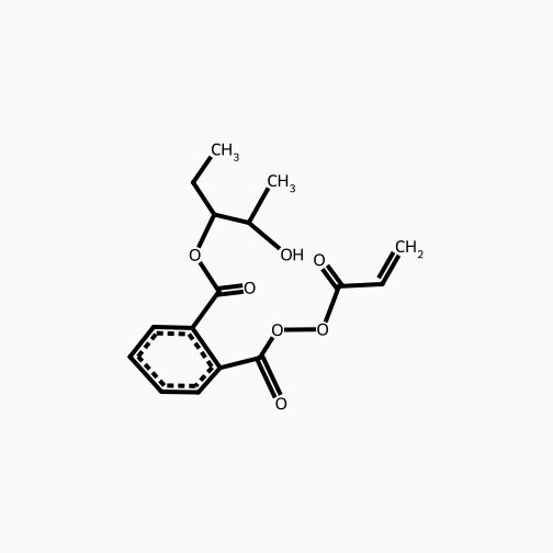 C=CC(=O)OOC(=O)c1ccccc1C(=O)OC(CC)C(C)O